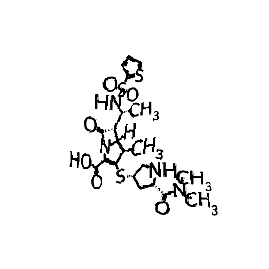 C[C@@H](NS(=O)(=O)c1cccs1)[C@H]1C(=O)N2C(C(=O)O)=C(S[C@@H]3CN[C@H](C(=O)N(C)C)C3)[C@H](C)[C@@H]12